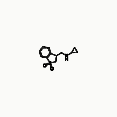 O=S1(=O)CC(CNC2CC2)c2ccccc21